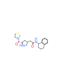 O=C(CC1CN[C@H](C(=O)N2CCSC2)C1)NC1CCCc2ccccc21